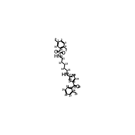 Cc1ccc(C)c(S(=O)(=O)NCCCCCNc2ncc(C(=O)c3ccccc3C)s2)c1